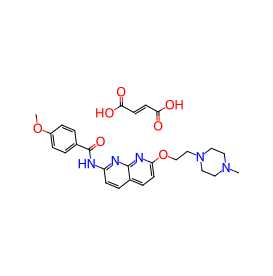 COc1ccc(C(=O)Nc2ccc3ccc(OCCN4CCN(C)CC4)nc3n2)cc1.O=C(O)C=CC(=O)O